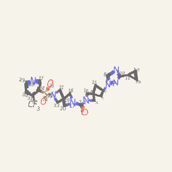 O=C(N1CC2(CC(n3cnc(C4CC4)n3)C2)C1)N1CC2(C1)CN(S(=O)(=O)c1cnccc1C(F)(F)F)C2